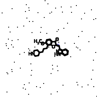 COc1ccc2c(c1CCCC1CCNCC1)O/C(=C\c1n[nH]c3ccccc13)C2=O